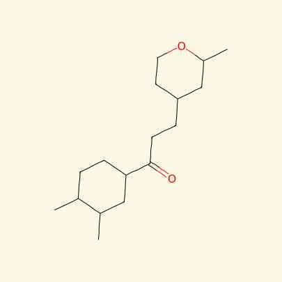 CC1CC(CCC(=O)C2CCC(C)C(C)C2)CCO1